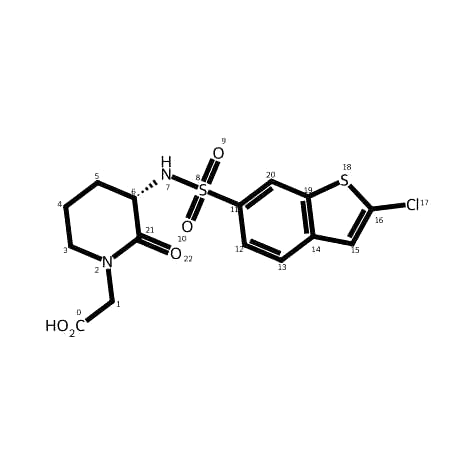 O=C(O)CN1CCC[C@H](NS(=O)(=O)c2ccc3cc(Cl)sc3c2)C1=O